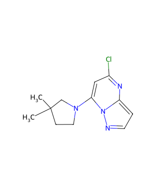 CC1(C)CCN(c2cc(Cl)nc3ccnn23)C1